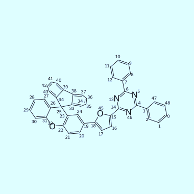 c1ccc(-c2nc(-c3ccccc3)nc(-c3ccc(-c4ccc5c(c4)C4(c6ccccc6O5)c5ccccc5-c5ccccc54)o3)n2)cc1